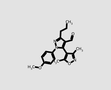 CCCc1nn(-c2ccc(OC)cc2)c(-c2c(C)noc2C)c1C=O